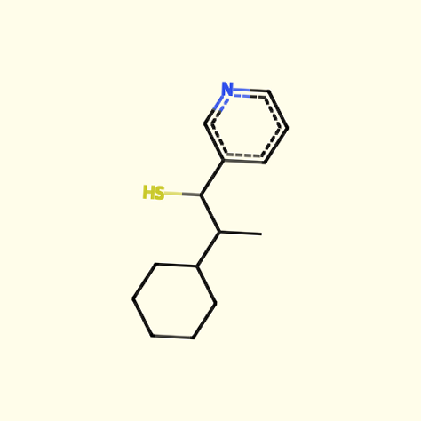 CC(C1CCCCC1)C(S)c1cccnc1